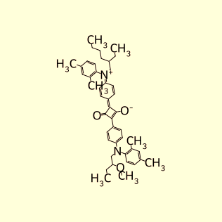 CCCCC(CC)C[N+](=C1C=CC(=C2C(=O)C(c3ccc(N(CC(CC)OC)c4ccc(C)cc4C)cc3)=C2[O-])C=C1)c1ccc(C)cc1C